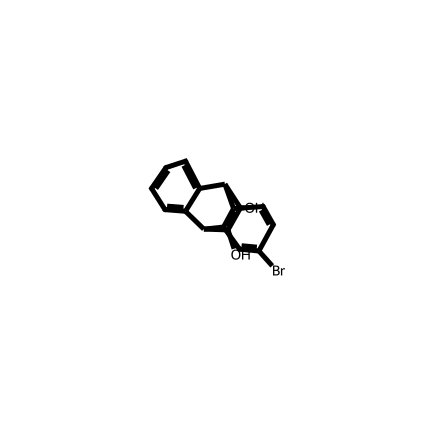 OC1C2c3ccccc3C(c3cc(Br)ccc32)C1O